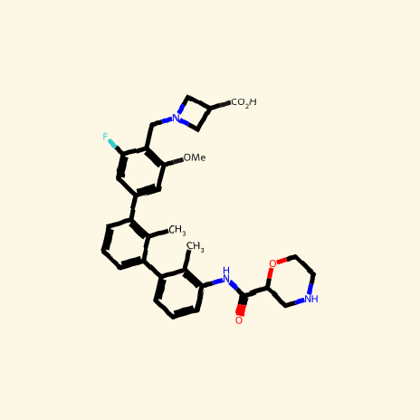 COc1cc(-c2cccc(-c3cccc(NC(=O)C4CNCCO4)c3C)c2C)cc(F)c1CN1CC(C(=O)O)C1